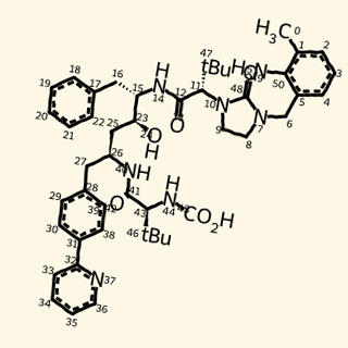 Cc1cccc(CN2CCN([C@H](C(=O)N[C@@H](Cc3ccccc3)[C@@H](O)C[C@H](Cc3ccc(-c4ccccn4)cc3)NC(=O)[C@@H](NC(=O)O)C(C)(C)C)C(C)(C)C)C2=O)c1N